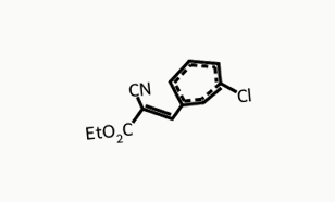 CCOC(=O)C(C#N)=Cc1cccc(Cl)c1